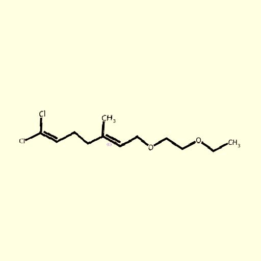 CCOCCOC/C=C(\C)CCC=C(Cl)Cl